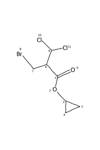 O=C(OC1CC1)C(CBr)C(Cl)Cl